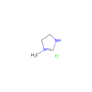 C[N+]1=CNCC1.[Cl-]